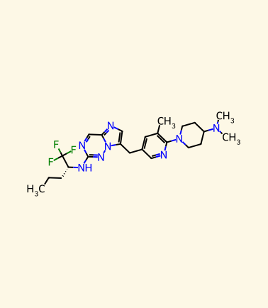 CCC[C@@H](Nc1ncc2ncc(Cc3cnc(N4CCC(N(C)C)CC4)c(C)c3)n2n1)C(F)(F)F